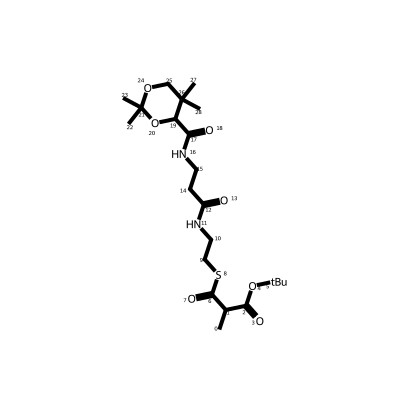 CC(C(=O)OC(C)(C)C)C(=O)SCCNC(=O)CCNC(=O)C1OC(C)(C)OCC1(C)C